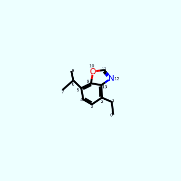 CCc1ccc(C(C)C)c2ocnc12